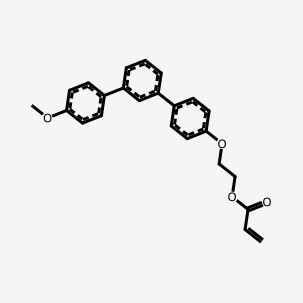 C=CC(=O)OCCOc1ccc(-c2cccc(-c3ccc(OC)cc3)c2)cc1